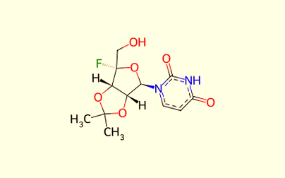 CC1(C)O[C@H]2[C@H](n3ccc(=O)[nH]c3=O)O[C@](F)(CO)[C@H]2O1